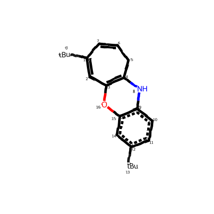 CC(C)(C)C1=CC2=C(CC=C1)Nc1ccc(C(C)(C)C)cc1O2